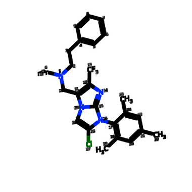 CCCN(CCc1ccccc1)Cc1c(C(F)(F)F)nc2n(-c3c(C)cc(C)cc3C)c(Cl)cn12